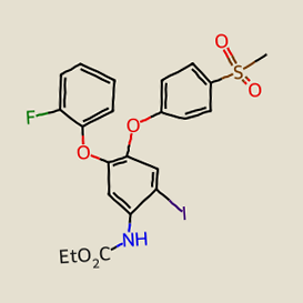 CCOC(=O)Nc1cc(Oc2ccccc2F)c(Oc2ccc(S(C)(=O)=O)cc2)cc1I